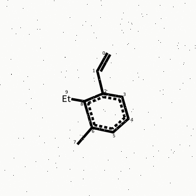 C=Cc1cccc(C)c1CC